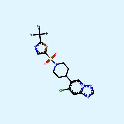 [2H]C([2H])([2H])c1ncc(S(=O)(=O)N2CCC(c3cn4ncnc4cc3Cl)CC2)s1